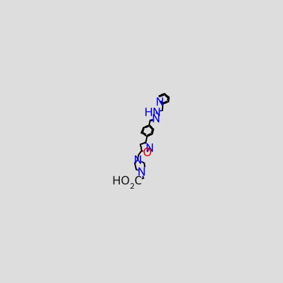 O=C(O)CN1CCN(CC2CC(c3ccc(C=NNCc4ccccn4)cc3)=NO2)CC1